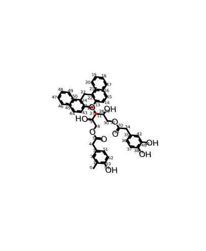 Cc1cc(CC(=O)OCC(O)COc2ccc3ccccc3c2Cc2c(OCC(O)COC(=O)Cc3ccc(O)c(O)c3)ccc3ccccc23)ccc1O